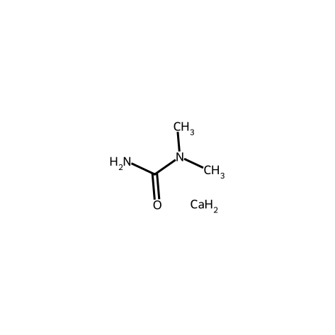 CN(C)C(N)=O.[CaH2]